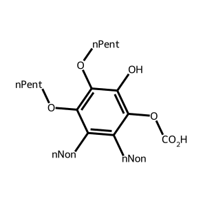 CCCCCCCCCc1c(CCCCCCCCC)c(OCCCCC)c(OCCCCC)c(O)c1OC(=O)O